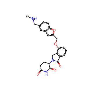 CCNCc1ccc2oc(COc3cccc4c3CN(C3CCC(=O)NC3=O)C4=O)cc2c1